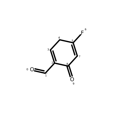 O=[C]C1=CCC(F)=CC1=O